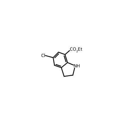 CCOC(=O)c1cc(Cl)cc2c1NCC2